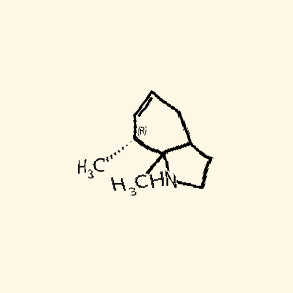 C[C@@H]1C=CCC2CCNC21C